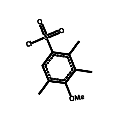 COc1c(C)cc(S(=O)(=O)Cl)c(C)c1C